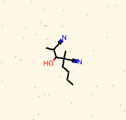 CCCCC(C)(C#N)C(O)C(C)C#N